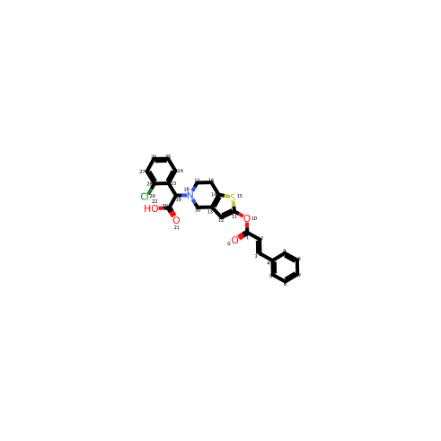 O=C(/C=C/c1ccccc1)Oc1cc2c(s1)CCN(C(C(=O)O)c1ccccc1Cl)C2